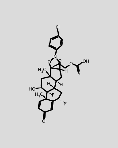 C[C@]12C=CC(=O)C=C1[C@@H](F)C[C@H]1[C@@H]3C[C@H]4CN(c5ccc(Cl)cc5)O[C@@]4(C(=O)COC(O)=S)[C@@]3(C)C[C@H](O)[C@@]12F